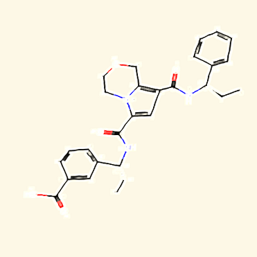 CC[C@@H](NC(=O)c1cc(C(=O)N[C@H](CC)c2cccc(C(=O)O)c2)n2c1COCC2)c1ccccc1